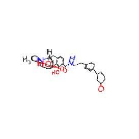 CN1CC[C@]23CC(=O)CC[C@@]2(O)[C@H]1Cc1ccc(C(=O)NCCc2ccc(C4=CC(=O)CC=C4)cc2)c(O)c13